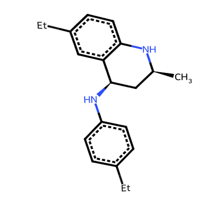 CCc1ccc(N[C@@H]2C[C@H](C)Nc3ccc(CC)cc32)cc1